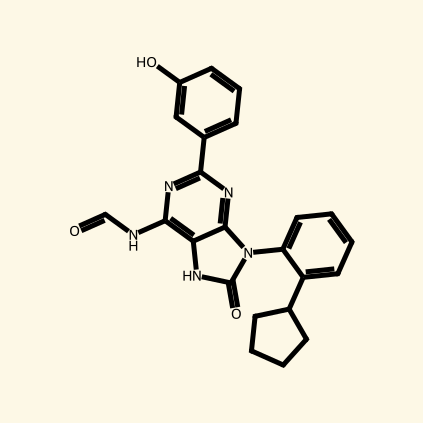 O=CNc1nc(-c2cccc(O)c2)nc2c1[nH]c(=O)n2-c1ccccc1C1CCCC1